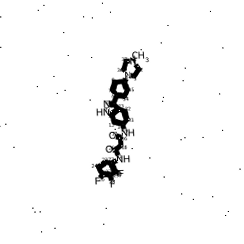 CN1CCN(c2ccc(-c3n[nH]c4cc(NC(=O)CC(=O)Nc5ccc(F)c(F)c5F)ccc34)cc2)CC1